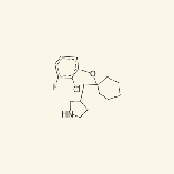 Fc1cccc(OC2(CC3CCNC3)CCCCC2)c1Cl